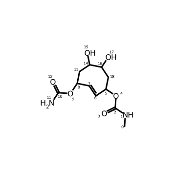 CNC(=O)OC1/C=C/C(OC(N)=O)CC(O)C(O)C1